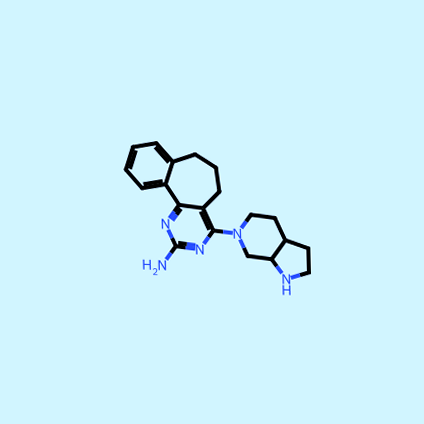 Nc1nc2c(c(N3CCC4CCNC4C3)n1)CCCc1ccccc1-2